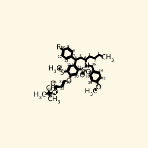 CCCCC1CC(c2ccc(F)cc2)c2cc(SC)c(O/C=C/C(=O)OC(C)(C)C)cc2S(=O)(=O)N1Cc1ccc(OC)cc1